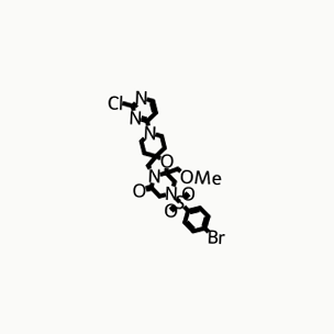 COCC12CN(S(=O)(=O)c3ccc(Br)cc3)CC(=O)N1CC1(CCN(c3ccnc(Cl)n3)CC1)O2